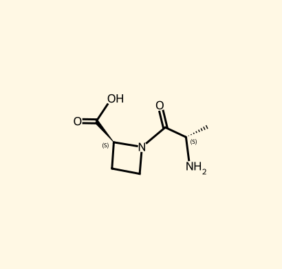 C[C@H](N)C(=O)N1CC[C@H]1C(=O)O